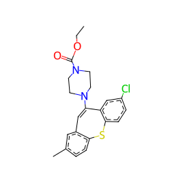 CCOC(=O)N1CCN(C2=Cc3cc(C)ccc3Sc3ccc(Cl)cc32)CC1